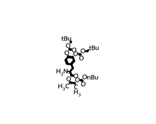 CCCCOC(=O)OC(C)[C@H](C)OC(=O)[C@@H](N)Cc1ccc(OC(=O)OCC(C)(C)C)c(OC(=O)OCC(C)(C)C)c1